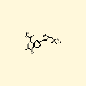 CC(=O)N1c2ccc(-c3cnn(CC4(C)COC4)c3)cc2N(C(=O)OC(C)C)C[C@@H]1C